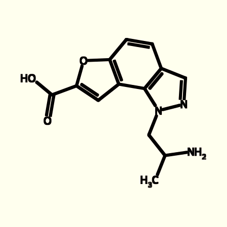 CC(N)Cn1ncc2ccc3oc(C(=O)O)cc3c21